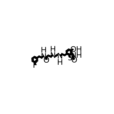 O=C(CCNCCNCCc1ccc(O)c2[nH]c(=O)sc12)NCCc1cccc(F)c1